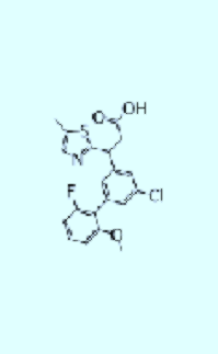 COc1cccc(F)c1-c1cc(Cl)cc(C(CC(=O)O)c2ncc(C)s2)c1